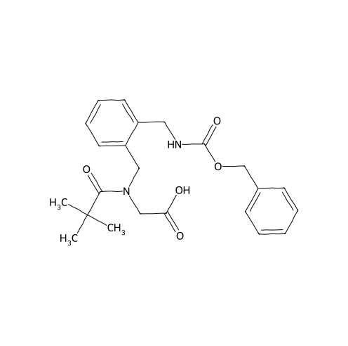 CC(C)(C)C(=O)N(CC(=O)O)Cc1ccccc1CNC(=O)OCc1ccccc1